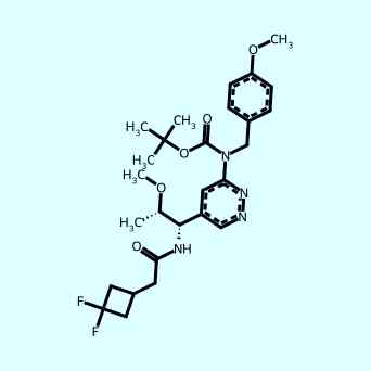 COc1ccc(CN(C(=O)OC(C)(C)C)c2cc([C@H](NC(=O)CC3CC(F)(F)C3)[C@H](C)OC)cnn2)cc1